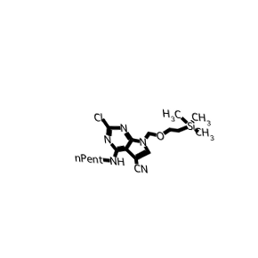 CCCCCNc1nc(Cl)nc2c1c(C#N)cn2COCC[Si](C)(C)C